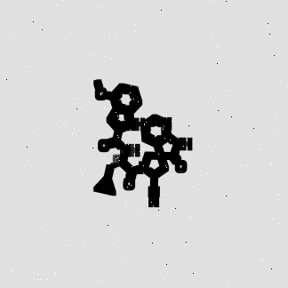 COc1cccc2[nH]c(C(=O)N[C@@H](CC3CC3)C(=O)N3CC4(CC3C#N)C(=O)Nc3ncccc34)cc12